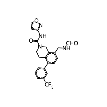 O=CNCc1ccc(-c2cccc(C(F)(F)F)c2)c2c1CN(C(=O)Nc1ccon1)CC2